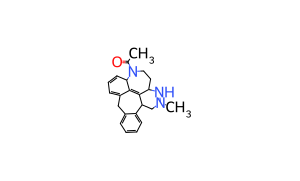 CC(=O)N1CCC2NN(C)CC3C2=C2C(=CC=CC21)Cc1ccccc13